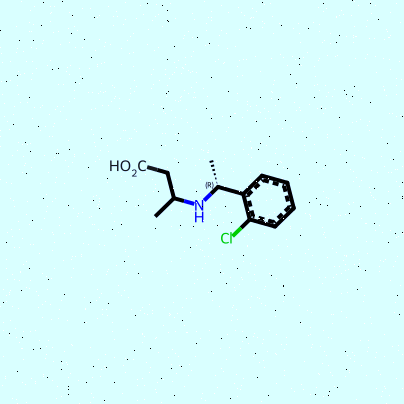 CC(CC(=O)O)N[C@H](C)c1ccccc1Cl